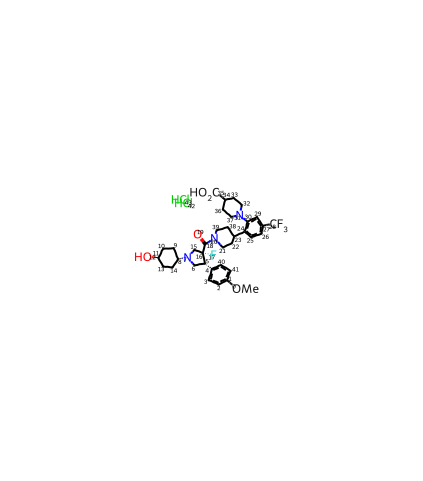 COc1ccc([C@@H]2CN([C@H]3CC[C@H](O)CC3)C[C@@]2(F)C(=O)N2CCC(c3ccc(C(F)(F)F)cc3N3CCC(C(=O)O)CC3)CC2)cc1.Cl.Cl